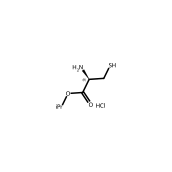 CC(C)OC(=O)[C@@H](N)CS.Cl